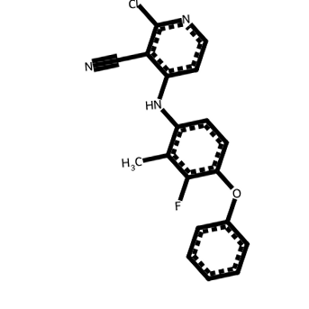 Cc1c(Nc2ccnc(Cl)c2C#N)ccc(Oc2ccccc2)c1F